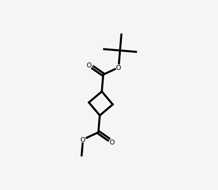 COC(=O)C1CC(C(=O)OC(C)(C)C)C1